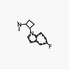 CN(C)C1CCC1n1ccc2cc(F)ccc21